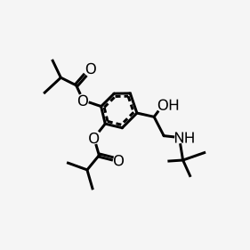 CC(C)C(=O)Oc1ccc(C(O)CNC(C)(C)C)cc1OC(=O)C(C)C